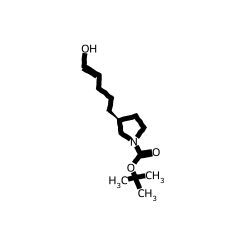 CC(C)(C)OC(=O)N1CC[C@H](CCCC=CO)C1